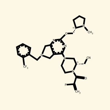 C=C(F)C(=O)N1CCN(c2nc(OC[C@@H]3CCCN3C)nc3c2CN(Cc2ccccc2C(F)(F)F)C3)C[C@@H]1CC#N